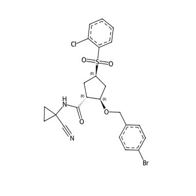 N#CC1(NC(=O)[C@@H]2C[C@@H](S(=O)(=O)c3ccccc3Cl)C[C@H]2OCc2ccc(Br)cc2)CC1